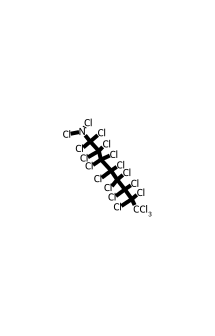 ClN(Cl)C(Cl)(Cl)C(Cl)(Cl)C(Cl)(Cl)C(Cl)(Cl)C(Cl)(Cl)C(Cl)(Cl)C(Cl)(Cl)C(Cl)(Cl)Cl